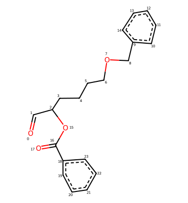 O=CC(CCCCOCc1ccccc1)OC(=O)c1ccccc1